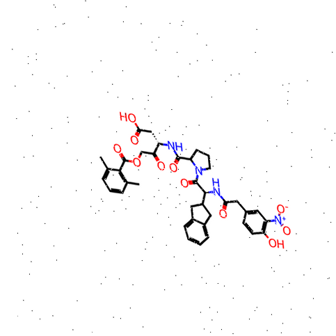 Cc1cccc(C)c1C(=O)OCC(=O)[C@H](CC(=O)O)NC(=O)C1CCCN1C(=O)[C@@H](NC(=O)Cc1ccc(O)c([N+](=O)[O-])c1)C1Cc2ccccc2C1